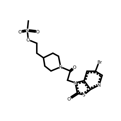 CS(=O)(=O)OCCC1CCN(C(=O)Cn2c(=O)sc3ncc(Br)cc32)CC1